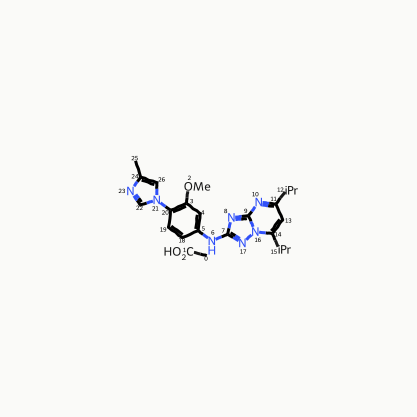 CC(=O)O.COc1cc(Nc2nc3nc(C(C)C)cc(C(C)C)n3n2)ccc1-n1cnc(C)c1